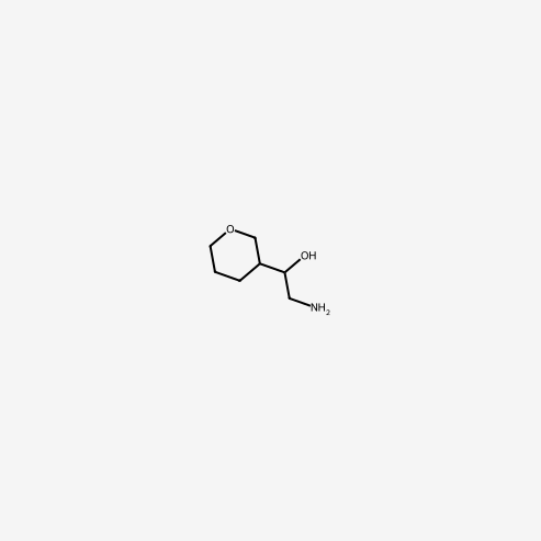 NCC(O)C1CCCOC1